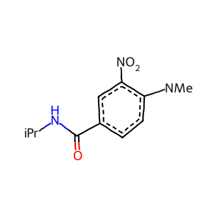 CNc1ccc(C(=O)NC(C)C)cc1[N+](=O)[O-]